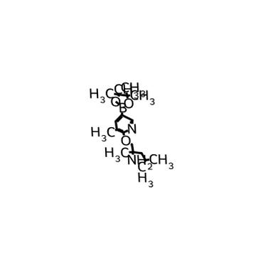 Cc1cc(B2OC(C)(C)C(C)(C)O2)cnc1OCC(C)(N)CC(C)C